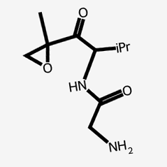 CC(C)C(NC(=O)CN)C(=O)C1(C)CO1